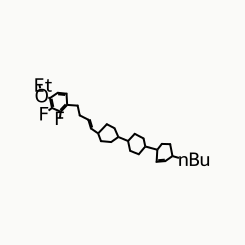 CCCCC1C=CC(C2CCC(C3CCC(/C=C/CCc4ccc(OCC)c(F)c4F)CC3)CC2)CC1